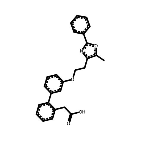 Cc1oc(-c2ccccc2)nc1CCOc1cccc(-c2ccccc2CC(=O)O)c1